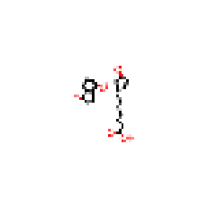 O=C(O)CCCCCC[C@H]1C=CC(=O)[C@@H]1COc1cccc2c1CCC2=O